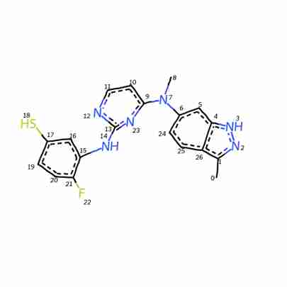 Cc1n[nH]c2cc(N(C)c3ccnc(Nc4cc(S)ccc4F)n3)ccc12